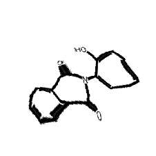 O=C1c2ccccc2C(=O)N1c1ccccc1O